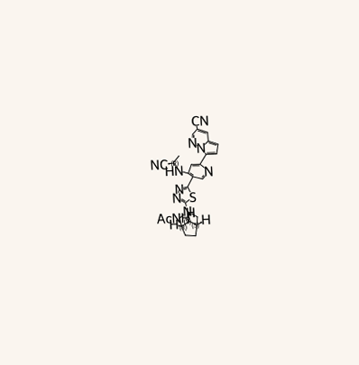 CC(=O)N[C@@H]1[C@@H]2CC[C@H]1CN(c1nnc(-c3cnc(-c4ccc5cc(C#N)cnn45)cc3N[C@H](C)C#N)s1)C2